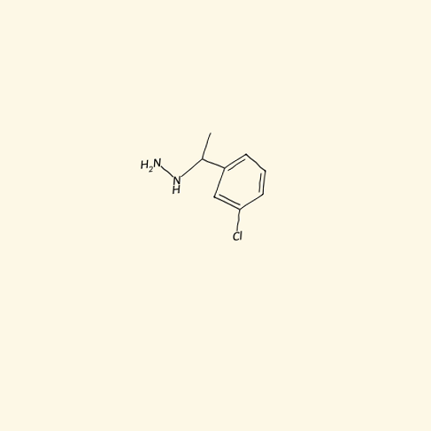 CC(NN)c1cccc(Cl)c1